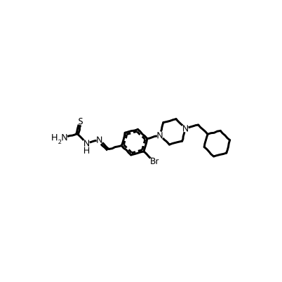 NC(=S)NN=Cc1ccc(N2CCN(CC3CCCCC3)CC2)c(Br)c1